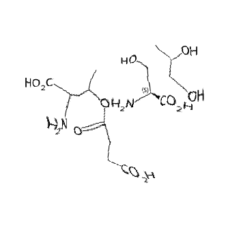 CC(O)CO.CC(OC(=O)CCC(=O)O)C(N)C(=O)O.N[C@@H](CO)C(=O)O